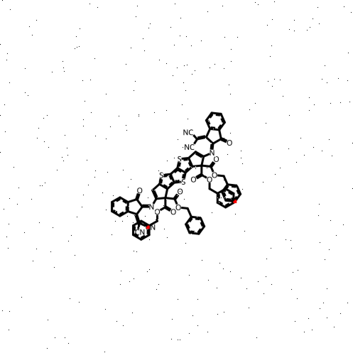 N#CC(C#N)=C1/C(=N/C2=Cc3sc4c(sc5c6c(sc54)C=C(/N=C4/C(=O)c5ccccc5C4=C(C#N)C#N)C6(C(=O)OCc4ccccc4)C(=O)OCc4ccccc4)c3C2(C(=O)OCc2ccccc2)C(=O)OCc2ccccc2)C(=O)c2ccccc21